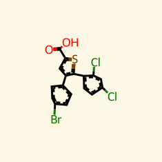 O=C(O)c1cc(-c2ccc(Br)cc2)c(-c2ccc(Cl)cc2Cl)s1